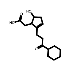 O=C(O)CC1C(CCC(=O)C2CCCCC2)=CCC1O